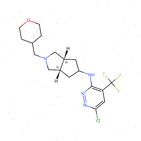 FC(F)(F)c1cc(Cl)nnc1NC1C[C@@H]2CN(CC3CCOCC3)C[C@@H]2C1